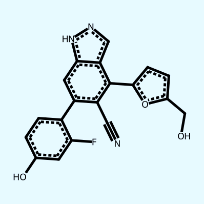 N#Cc1c(-c2ccc(O)cc2F)cc2[nH]ncc2c1-c1ccc(CO)o1